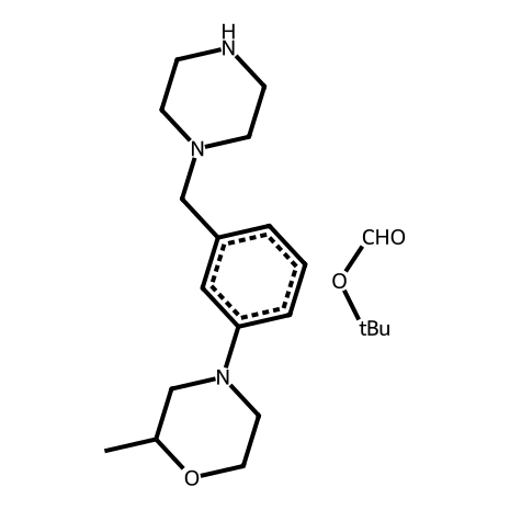 CC(C)(C)OC=O.CC1CN(c2cccc(CN3CCNCC3)c2)CCO1